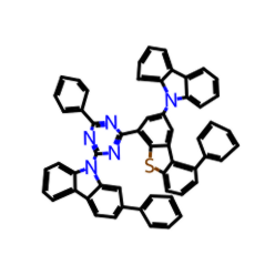 c1ccc(-c2ccc3c4ccccc4n(-c4nc(-c5ccccc5)nc(-c5cc(-n6c7ccccc7c7ccccc76)cc6c5sc5cccc(-c7ccccc7)c56)n4)c3c2)cc1